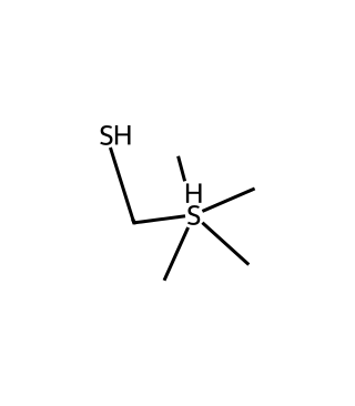 C[SH](C)(C)(C)CS